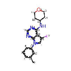 Cc1cccc(-n2cc(I)c3c(NC4CCOCC4)ncnc32)c1